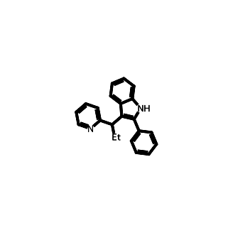 CCC(c1ccccn1)c1c(-c2ccccc2)[nH]c2ccccc12